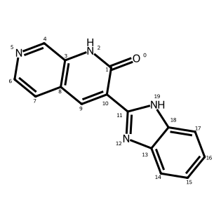 O=c1[nH]c2cnccc2cc1-c1nc2ccccc2[nH]1